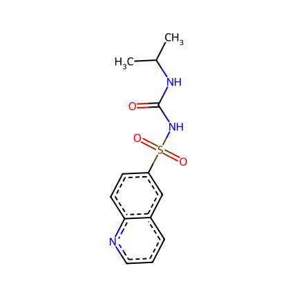 CC(C)NC(=O)NS(=O)(=O)c1ccc2ncccc2c1